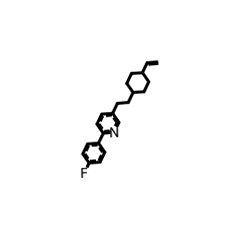 C=CC1CCC(CCc2ccc(-c3ccc(F)cc3)nc2)CC1